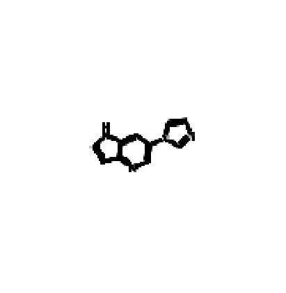 [c]1cc2ncc(-n3ccnc3)cc2[nH]1